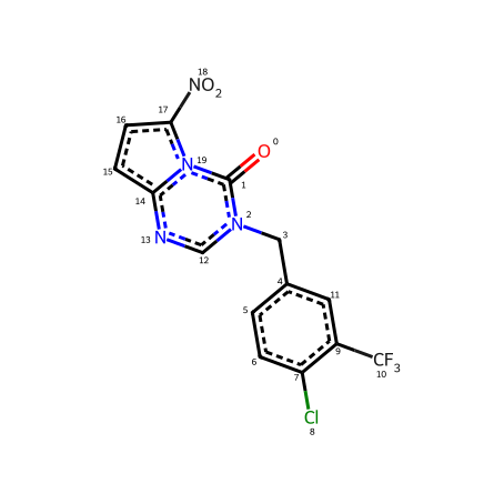 O=c1n(Cc2ccc(Cl)c(C(F)(F)F)c2)cnc2ccc([N+](=O)[O-])n12